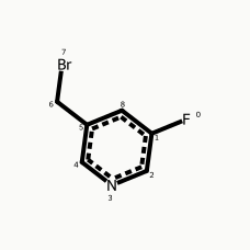 Fc1cncc(CBr)c1